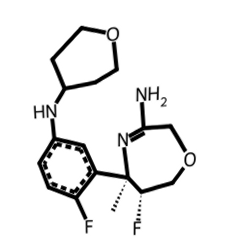 C[C@]1(c2cc(NC3CCOCC3)ccc2F)N=C(N)COC[C@@H]1F